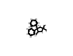 CC1CC(C)(C)CC1(c1ccccc1)c1ccccc1